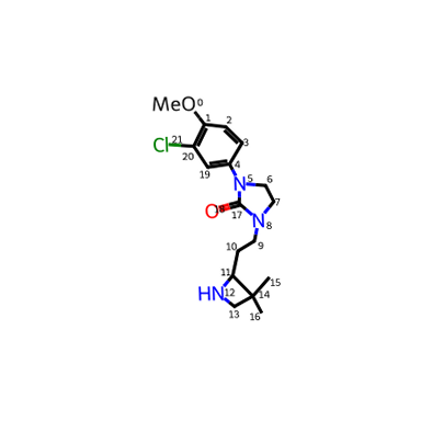 COc1ccc(N2CCN(CCC3NCC3(C)C)C2=O)cc1Cl